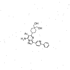 CC(=O)c1c(C2CCC(CO)(CO)CC2)nc2c(-c3ccc(-c4ccccc4)nc3)cnn2c1N